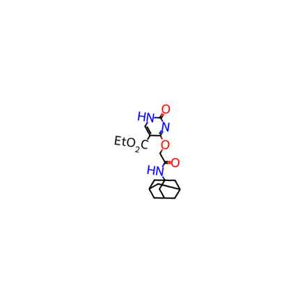 CCOC(=O)c1c[nH]c(=O)nc1OCC(=O)NC12CC3CC(CC(C3)C1)C2